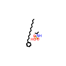 CC(C)NS(=O)(=O)O.CCCCCCCCCCCCc1ccccc1